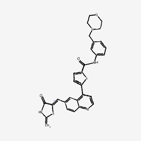 C=c1[nH]c(=O)/c(=C/c2ccc3nccc(-c4ccc(C(=O)Nc5cccc(CN6CCOCC6)c5)s4)c3c2)s1